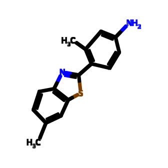 Cc1ccc2nc(-c3ccc(N)cc3C)sc2c1